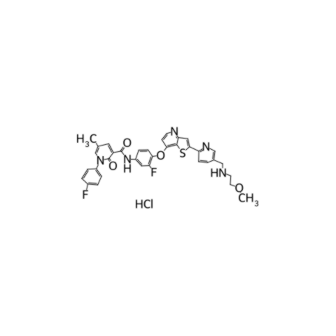 COCCNCc1ccc(-c2cc3nccc(Oc4ccc(NC(=O)c5cc(C)cn(-c6ccc(F)cc6)c5=O)cc4F)c3s2)nc1.Cl